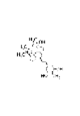 C=C1[C@H](O)CC(=C/C=C2\CCC[C@@]3(C)C2CCC3C(C)C(C)CCC(C)(C)O)C[C@H]1O